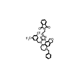 O=C1c2ccccc2C(=O)N1CCn1nnc(N(Cc2cc(C(F)(F)F)cc(C(F)(F)F)c2)[C@H]2CCCN(Cc3ccccc3)c3cc4c(cc32)COC4)n1